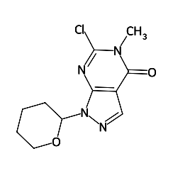 Cn1c(Cl)nc2c(cnn2C2CCCCO2)c1=O